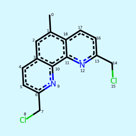 Cc1cc2ccc(CCl)nc2c2nc(CCl)ccc12